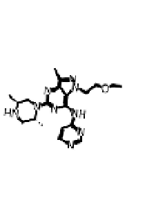 CCOCCn1nc(C)c2nc(N3C[C@H](C)NC[C@H]3C)nc(Nc3ccncn3)c21